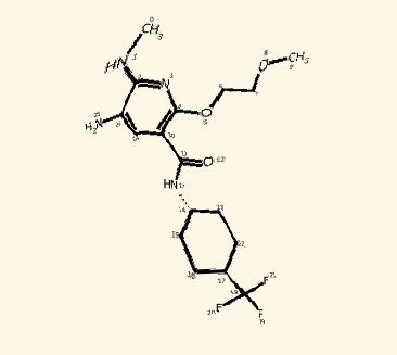 CNc1nc(OCCOC)c(C(=O)N[C@H]2CC[C@H](C(F)(F)F)CC2)cc1N